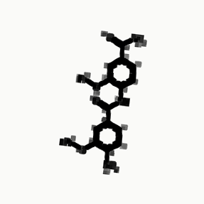 CCCOc1cc(C(=O)Nc2ccc(C(N)=O)cc2OC(C)C)ccc1[N+](=O)[O-]